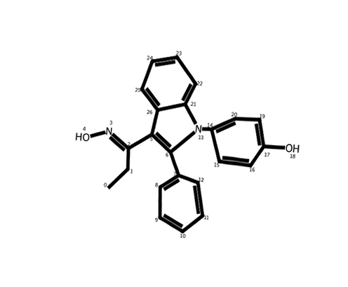 CCC(=NO)c1c(-c2ccccc2)n(-c2ccc(O)cc2)c2ccccc12